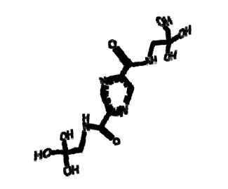 O=C(NCC(O)(O)O)c1cnc(C(=O)NCC(O)(O)O)cn1